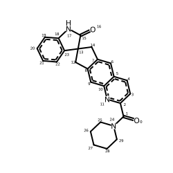 O=C(c1ccc2cc3c(cc2n1)CC1(C3)C(=O)Nc2ccccc21)N1CCCCC1